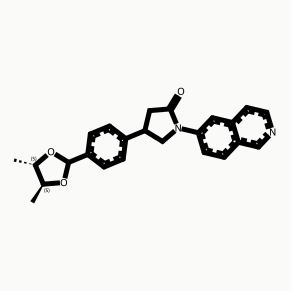 C[C@@H]1OC(c2ccc(C3CC(=O)N(c4ccc5cnccc5c4)C3)cc2)O[C@H]1C